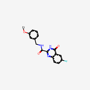 CCOc1cccc(CNC(=O)c2nc3ccc(F)cc3c(=O)[nH]2)c1